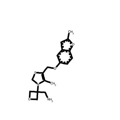 CC1=C(COc2ccc3oc(C)cc3c2)SCN1C1(CN)COC1